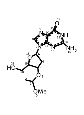 COC(C)OC1CC(n2cnc3c(=O)[nH]c(N)nc32)OC1CO